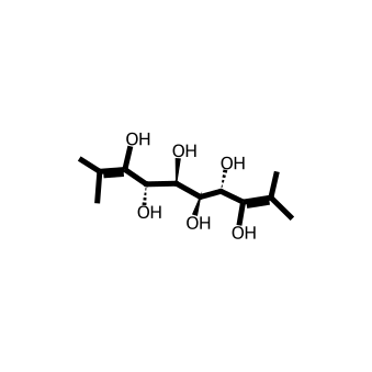 CC(C)=C(O)[C@@H](O)[C@@H](O)[C@H](O)[C@H](O)C(O)=C(C)C